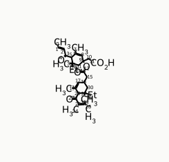 CC=CC(=O)C1C(C)=CC(CC(=O)O)(OC(=O)CC2C=C(C)C(C(=O)C(C)=CC)C(C)(CC)C2)CC1(C)CC